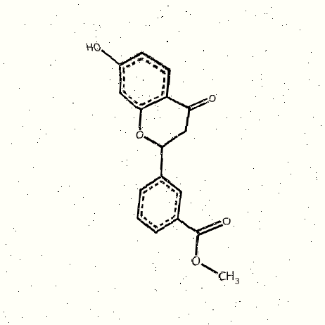 COC(=O)c1cccc(C2CC(=O)c3ccc(O)cc3O2)c1